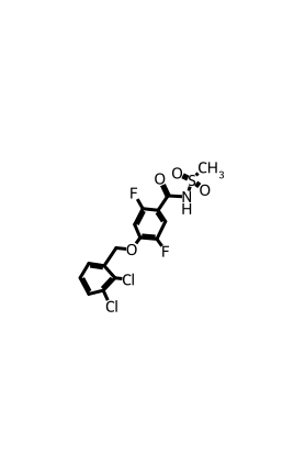 CS(=O)(=O)NC(=O)c1cc(F)c(OCc2cccc(Cl)c2Cl)cc1F